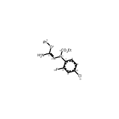 CCOC(=O)N(N=C(N)OC(C)C)c1ccc(Cl)cc1F